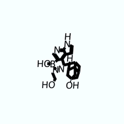 OCCN1N=C([C@H]2C3CC4CC2C[C@@](O)(C4)C3)c2c(cnc3[nH]ccc23)B1O